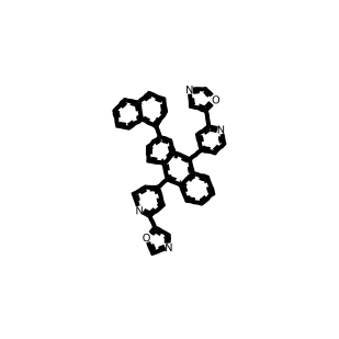 c1ccc2c(-c3ccc4c(-c5ccnc(-c6cnco6)c5)c5ccccc5c(-c5ccnc(-c6cnco6)c5)c4c3)cccc2c1